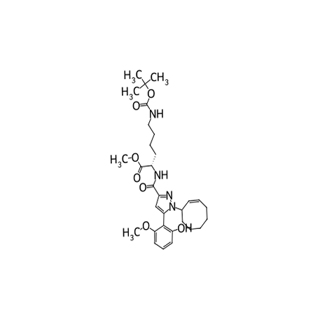 COC(=O)[C@H](CCCCNC(=O)OC(C)(C)C)NC(=O)c1cc(-c2c(O)cccc2OC)n(C2/C=C\CCCCC2)n1